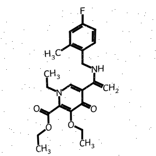 C=C(NCc1ccc(F)cc1C)c1cn(CC)c(C(=O)OCC)c(OCC)c1=O